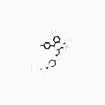 COc1ccc2c(c1)C(c1ccc(Cl)cc1)=NC(CC(=O)NC1CCN(C(=O)OC(C)(C)C)CC1)c1nnc(C)n1-2